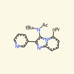 CCCc1cccc2nc(-c3cccnc3)c(N(C(C)=O)C(C)(C)C)n12